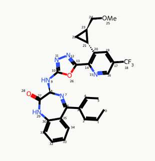 C/C=C\C(=C/C)C1=N[C@H](Nc2nnc(-c3ncc(C(F)(F)F)cc3[C@@H]3C[C@H]3COC)o2)C(=O)Nc2ccccc21